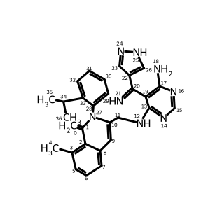 C=C1c2c(C)cccc2C=C(CNc2ncnc(N)c2C(=N)c2cn[nH]c2)N1c1ccccc1C(C)C